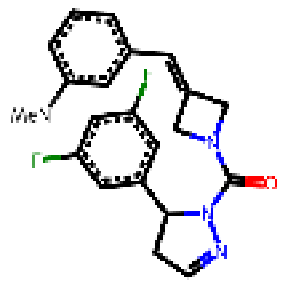 CNc1cccc(C=C2CN(C(=O)N3N=CCC3c3cc(F)cc(F)c3)C2)c1